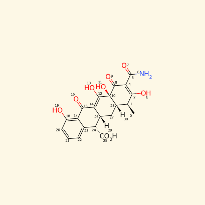 C[C@@H]1C(O)=C(C(N)=O)C(=O)[C@@]2(O)C(O)=C3C(=O)c4c(O)cccc4[C@@H](C(=O)O)[C@H]3C[C@@H]12